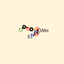 CCN(C)CC1CN(Sc2ccc(OCc3cccc(Cl)c3)cc2)C(C(=O)OC)[C@H](C)O1